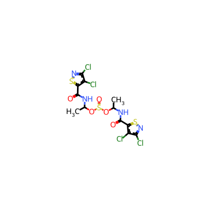 CC(NC(=O)c1snc(Cl)c1Cl)OS(=O)OC(C)NC(=O)c1snc(Cl)c1Cl